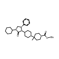 CC(C)(C)OC(=O)N1CCC(C)(N2CCC(N3C(=O)N(C4CCCCC4)C[C@H]3c3ccccc3)CC2)CC1